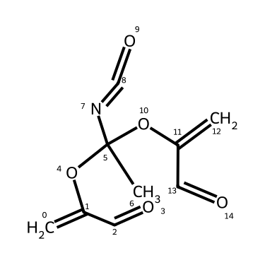 C=C(C=O)OC(C)(N=C=O)OC(=C)C=O